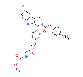 COCC(=O)NCC(O)COc1ccc(C2C3=C(CCN2C(=O)Oc2ccc(C)cc2)C2C=C(Cl)C=CC2N3)cc1